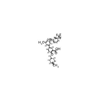 Cc1cc(Nc2nccc(C(F)(F)F)n2)cc(-c2ccc(OCC3CCN(C)CC3)c(C(=O)O)c2)c1